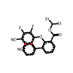 CCC(CC)OC(=O)c1cccc(-c2ccccc2)c1Oc1c(F)c(F)c(C#N)c(C#N)c1F